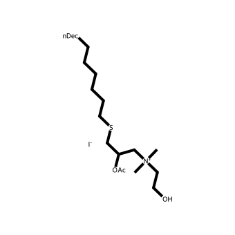 CCCCCCCCCCCCCCCCSCC(C[N+](C)(C)CCO)OC(C)=O.[I-]